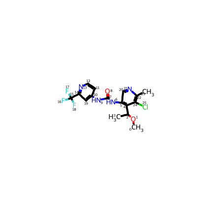 COC(C)c1c(NC(=O)Nc2ccnc(C(F)(F)F)c2)cnc(C)c1Cl